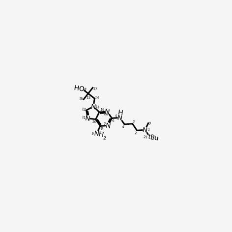 CN(CCCNc1nc(N)c2ncn(CC(C)(C)O)c2n1)C(C)(C)C